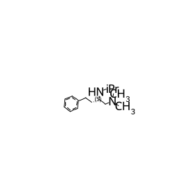 CC(C)N[C@@H](CCc1ccccc1)CN(C)C